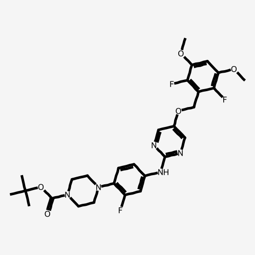 COc1cc(OC)c(F)c(COc2cnc(Nc3ccc(N4CCN(C(=O)OC(C)(C)C)CC4)c(F)c3)nc2)c1F